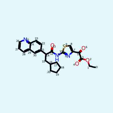 CCOC(=O)C(=O)c1csc(NC(=O)C(CC2CCCC2)c2ccc3ncccc3c2)n1